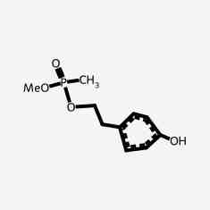 COP(C)(=O)OCCc1ccc(O)cc1